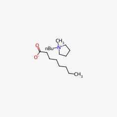 CCCCCCCC(=O)[O-].CCCC[N+]1(C)CCCC1